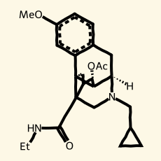 CCNC(=O)C1C[C@]23CCN(CC4CC4)[C@H](Cc4ccc(OC)cc42)[C@]3(OC(C)=O)C1